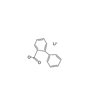 O=C([O-])c1ccccc1-c1ccccc1.[Li+]